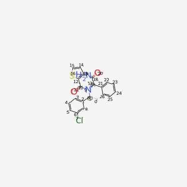 C[C@H](c1cccc(Cl)c1)N(C(=O)c1cccs1)[C@@H](C(N)=O)c1ccccc1